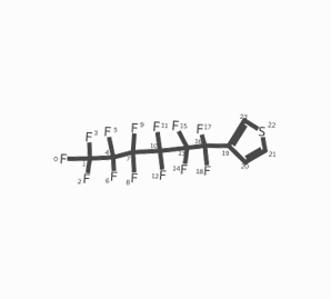 FC(F)(F)C(F)(F)C(F)(F)C(F)(F)C(F)(F)C(F)(F)c1ccsc1